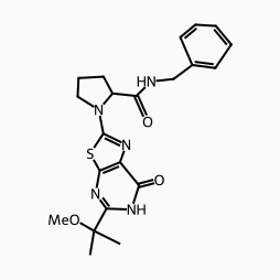 COC(C)(C)c1nc2sc(N3CCCC3C(=O)NCc3ccccc3)nc2c(=O)[nH]1